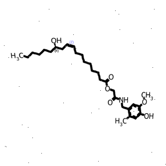 CCCCCC[C@@H](O)C/C=C\CCCCCCCC(=O)OCC(=O)NCc1cc(OC)c(O)cc1C